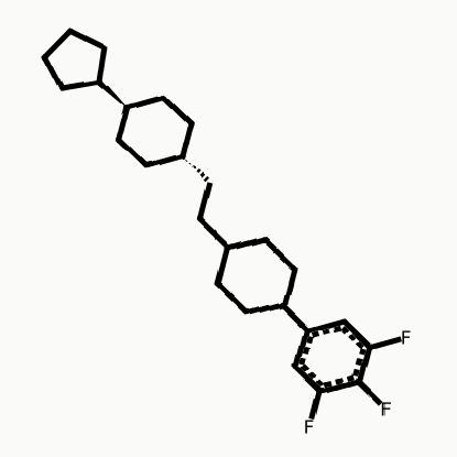 Fc1cc(C2CCC(CC[C@H]3CC[C@H](C4CCCC4)CC3)CC2)cc(F)c1F